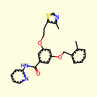 Cc1ccccc1COc1cc(OCCc2scnc2C)cc(C(=O)Nc2ccccn2)c1